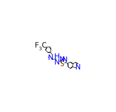 CN(CCNc1nnc(-c2ccc3cnccc3c2)s1)Cc1ccc(C(F)(F)F)cc1